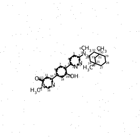 CN(c1ccc(-c2ccc(-c3cc(=O)n(C)cn3)cc2O)nn1)[C@H]1C[C@]2(C)CCC[C@](C)(C1)C2